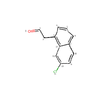 O=CCc1cccc2ccc(Cl)cc12